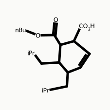 CCCCOC(=O)C1C(C(=O)O)C=CC(CC(C)C)C1CC(C)C